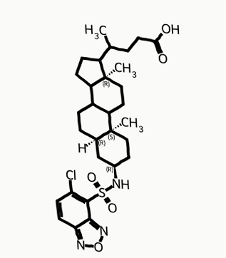 CC(CCC(=O)O)C1CCC2C3CC[C@@H]4C[C@H](NS(=O)(=O)c5c(Cl)ccc6nonc56)CC[C@]4(C)C3CC[C@]12C